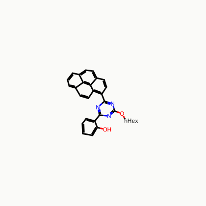 CCCCCCOc1nc(-c2ccccc2O)nc(-c2ccc3ccc4cccc5ccc2c3c45)n1